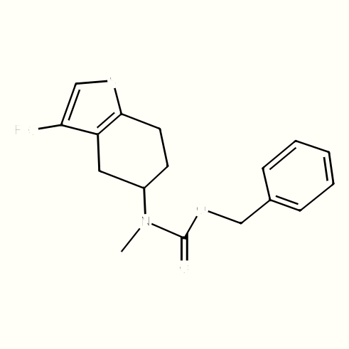 CN(C(=O)OCc1ccccc1)C1CCc2scc(C(F)(F)F)c2C1